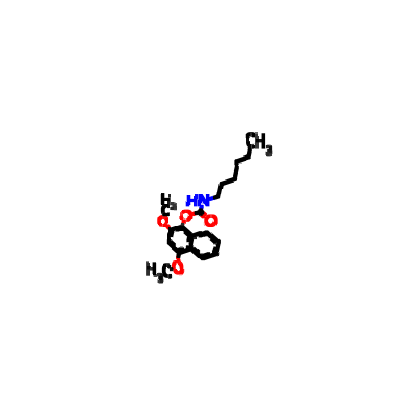 CCCCCCNC(=O)Oc1c(OC)cc(OC)c2ccccc12